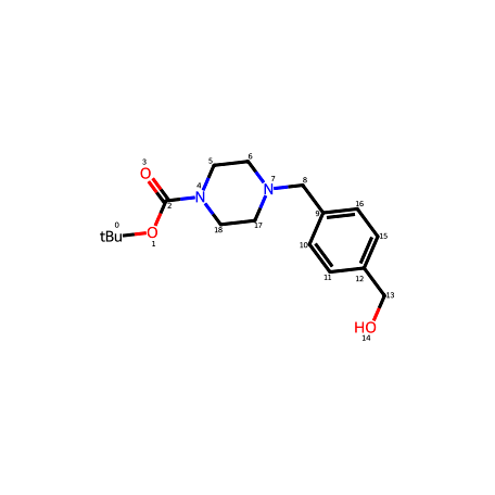 CC(C)(C)OC(=O)N1CCN(Cc2ccc(CO)cc2)CC1